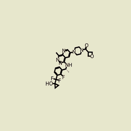 Cc1nnc(N[C@H](C)c2cccc(C(F)(F)C3(O)CC3)c2F)c2cc(N3CCN(C(=O)C4COC4)CC3)cnc12